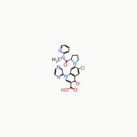 CN(C(=O)[C@H]1CCCN1c1cc2c(cc1Cl)c(=O)c(C(=O)O)cn2-c1cnccn1)c1ccccn1